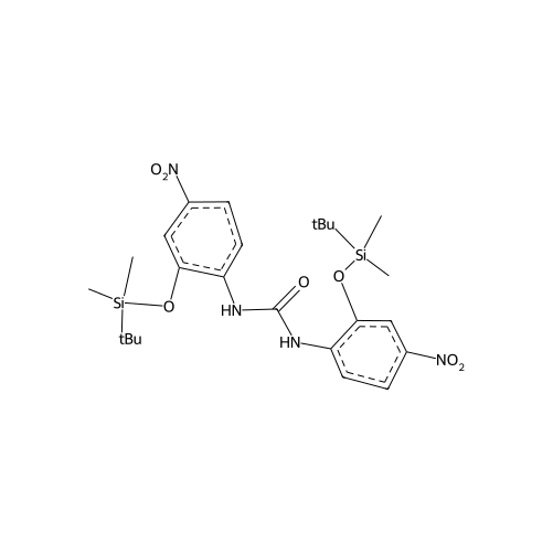 CC(C)(C)[Si](C)(C)Oc1cc([N+](=O)[O-])ccc1NC(=O)Nc1ccc([N+](=O)[O-])cc1O[Si](C)(C)C(C)(C)C